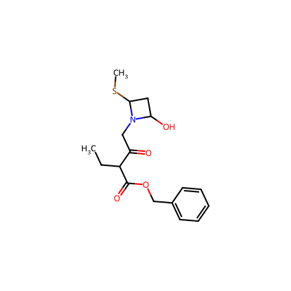 CCC(C(=O)CN1C(O)CC1SC)C(=O)OCc1ccccc1